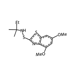 CCC(C)(C)NSc1nc2c(OC)cc(OC)cc2s1